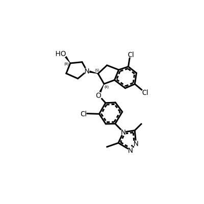 Cc1nnc(C)n1-c1ccc(O[C@@H]2c3cc(Cl)cc(Cl)c3C[C@@H]2N2CC[C@@H](O)C2)c(Cl)c1